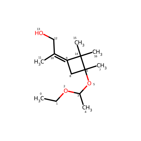 CCOC(C)OC1(C)C/C(=C(\C)CO)C1(C)C